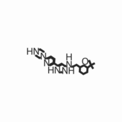 CC1(C)COC2C(CCNC3C=C(c4ccc(N5CCNCC5)nc4)NCN3)CCCC21